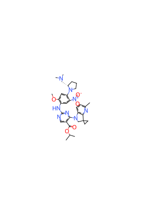 COc1cc(N2CCC[C@H]2CN(C)C)c([N+](=O)[O-])cc1Nc1ncc(C(=O)OC(C)C)c(N2CC3(CC3)c3nc(C)ccc32)n1